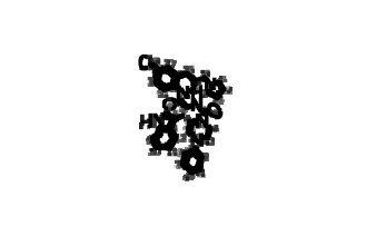 O=C(N[C@H](Cc1c[nH]c2ccccc12)C(=O)N1C[C@H](CN2CCCC2)Cc2cc(Cl)ccc21)N1CCN(c2ccccc2)CC1